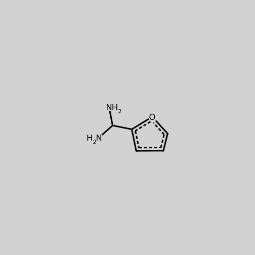 NC(N)c1ccco1